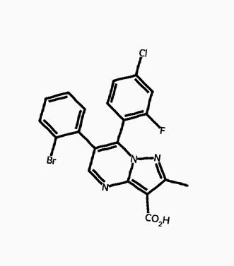 Cc1nn2c(-c3ccc(Cl)cc3F)c(-c3ccccc3Br)cnc2c1C(=O)O